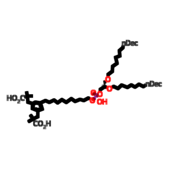 CCCCCCCCCCCCCCCCCCOC[C@@H](COP(=O)(O)OCCCCCCCCCCCc1cc(CC(C)(C)C(=O)O)cc(CC(C)(C)C(=O)O)c1)OCCCCCCCCCCCCCCCCCC